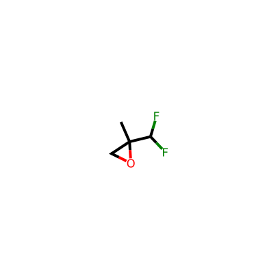 CC1(C(F)F)CO1